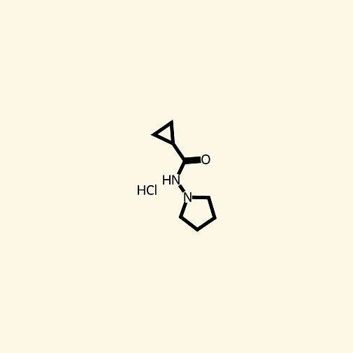 Cl.O=C(NN1CCCC1)C1CC1